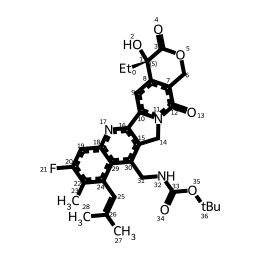 CC[C@@]1(O)C(=O)OCc2c1cc1n(c2=O)Cc2c-1nc1cc(F)c(C)c(C=C(C)C)c1c2CNC(=O)OC(C)(C)C